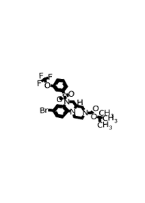 CC(C)(C)OC(=O)N1CCN2c3ccc(Br)cc3N(S(=O)(=O)c3cccc(OC(F)(F)F)c3)C[C@@H]2C1